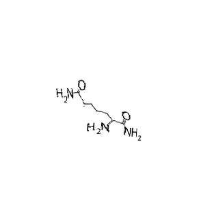 NC(=O)[CH]CCCC(N)C(N)=O